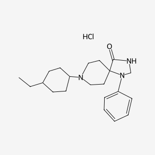 CCC1CCC(N2CCC3(CC2)C(=O)NCN3c2ccccc2)CC1.Cl